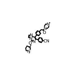 CN1CCN(C(=O)Cc2ccc(-c3c(-c4ccc(C#N)cc4)nc(OC[C@@H]4CCCN(C)C4)n4ccnc34)cc2)CC1